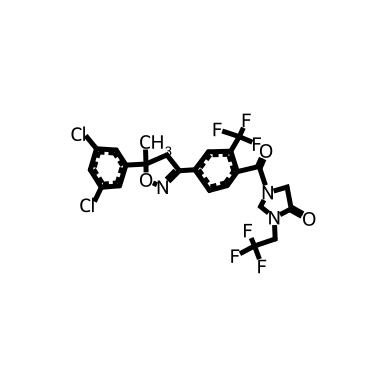 CC1(c2cc(Cl)cc(Cl)c2)CC(c2ccc(C(=O)N3CC(=O)N(CC(F)(F)F)C3)c(C(F)(F)F)c2)=NO1